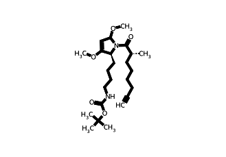 C#CCCCC[C@@H](C)C(=O)N1C(OC)C=C(OC)[C@@H]1CCCCNC(=O)OC(C)(C)C